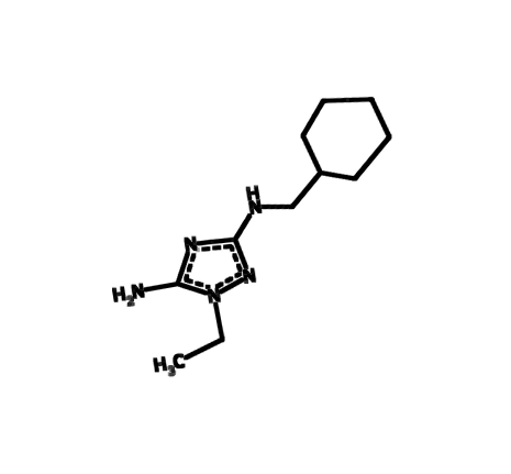 CCn1nc(NCC2CCCCC2)nc1N